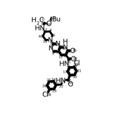 C=C(NC1CCN(c2ncc3cc(C(=O)Nc4cc(C(=O)NCc5cccc(Cl)c5)ccc4Cl)c(=O)[nH]c3n2)CC1)OC(C)(C)C